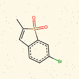 CC1=Cc2ccc(Br)cc2S1(=O)=O